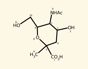 CC(=O)NC1C(O)CC(C)(C(=O)O)OC1CO